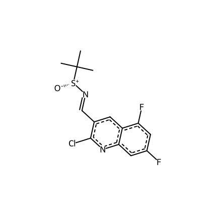 CC(C)(C)[S@@+]([O-])N=Cc1cc2c(F)cc(F)cc2nc1Cl